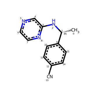 C[C@@H](Nc1cnccn1)c1ccc(C#N)cc1